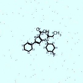 CCC(=O)N(c1cc(C2=CCCCC2)sc1C(=O)O)C1CCC(F)CC1